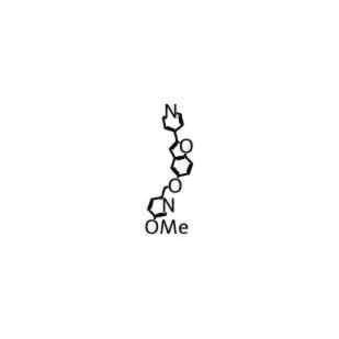 COc1ccc(COc2ccc3oc(-c4ccncc4)cc3c2)nc1